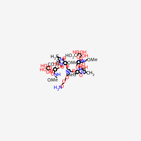 C=C1C[C@H]2C(O)N(C(=O)OCc3ccc(O[C@@H]4O[C@H](C(=O)O)[C@@H](O)[C@H](O)[C@H]4O)c(C(=O)NCCOC)c3)c3cc(OCc4cc(COc5cc6c(cc5OC)C(=O)N5CC(=C)C[C@H]5C(O)N6C(=O)OCc5ccc(OC6OC(C(=O)O)[C@@H](O)[C@H](O)[C@H]6O)c(C(=O)NCCOC)c5)n(CCOCCOCCON)n4)c(OC)cc3C(=O)N2C1